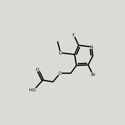 COc1c(F)ncc(Br)c1COCC(=O)O